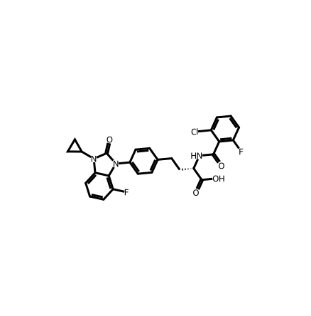 O=C(N[C@@H](CCc1ccc(-n2c(=O)n(C3CC3)c3cccc(F)c32)cc1)C(=O)O)c1c(F)cccc1Cl